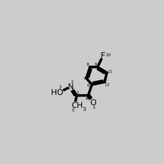 CC(=NO)C(=O)c1ccc(F)cc1